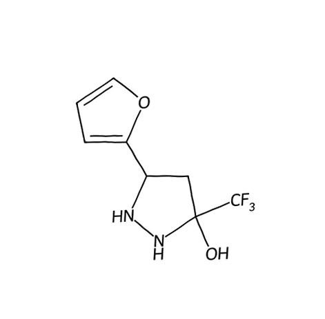 OC1(C(F)(F)F)CC(c2ccco2)NN1